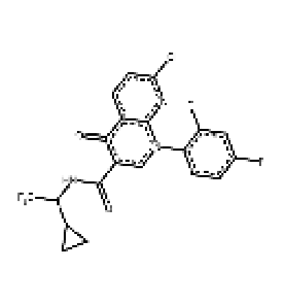 O=C(NC(C1CC1)C(F)(F)F)c1cn(-c2ccc(F)cc2F)c2nc(Cl)ccc2c1=O